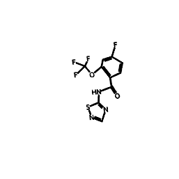 O=C(Nc1ncns1)c1ccc(F)cc1OC(F)(F)F